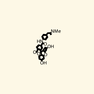 CN[C@@H](C)Cc1ccc(NC(=O)c2ccc3c(c2)C2(OC3=O)c3ccc(O)cc3Oc3cc(O)ccc32)cc1